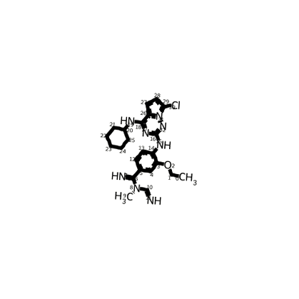 CCOc1cc(C(=N)N(C)C=N)ccc1Nc1nc(NC2CCCCC2)c2ccc(Cl)n2n1